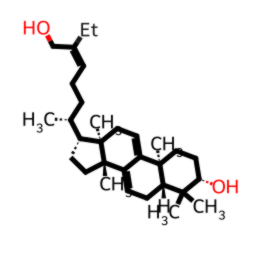 CC/C(=C/CC[C@@H](C)[C@H]1CC[C@@]2(C)C3=CC[C@H]4C(C)(C)[C@@H](O)CC[C@]4(C)C3=CC[C@]12C)CO